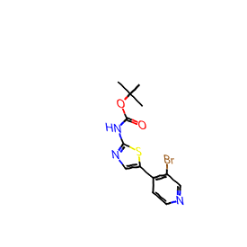 CC(C)(C)OC(=O)Nc1ncc(-c2ccncc2Br)s1